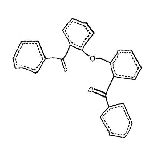 O=C(c1ccccc1)c1ccccc1Oc1ccccc1C(=O)c1ccccc1